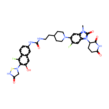 Cn1c(=O)n(C2CCC(=O)NC2=O)c2cc(F)c(N3CCC(CCNC(=O)Nc4ccc5c(F)c(N6CC(=O)NS6)c(O)cc5c4)CC3)cc21